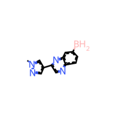 Bc1ccc2ncc(-c3cnn(C)c3)nc2c1